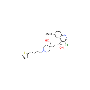 COc1ccc2ncc(Cl)c([C@H](O)CCC3(CO)CCN(CCCCc4cccs4)CC3)c2c1